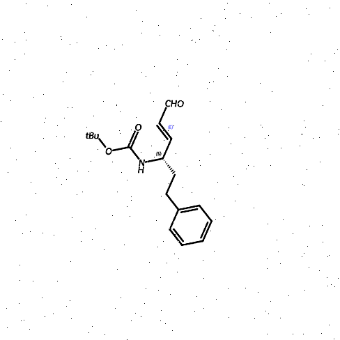 CC(C)(C)OC(=O)N[C@H](/C=C/C=O)CCc1ccccc1